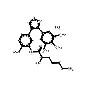 COc1ccc(-c2cnoc2-c2cc(OC)c(OC)c(OC)c2)cc1NC(=O)C(N)CCCCN.Cl